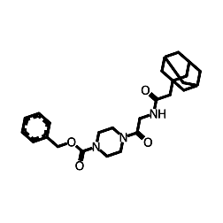 O=C(CC12CC3CC(CC(C3)C1)C2)NCC(=O)N1CCN(C(=O)OCc2ccccc2)CC1